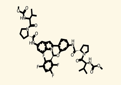 COC(=O)NC(C(=O)N1CCC[C@H]1C(=O)Nc1ccc2c(c1)cc1n2[C@H](c2c(F)c(F)cc(F)c2F)Oc2cc(NC(=O)[C@@H]3CCCN3C(=O)[C@@H](NC(=O)OC)C(C)C)ccc2-1)C(C)C